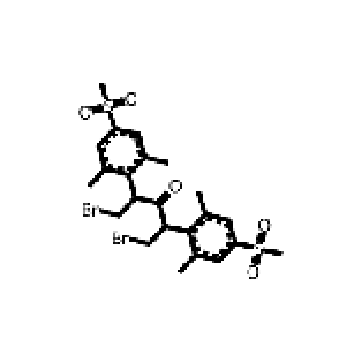 Cc1cc(S(C)(=O)=O)cc(C)c1C(CBr)C(=O)C(CBr)c1c(C)cc(S(C)(=O)=O)cc1C